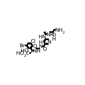 C=C(NCC(O)CN)Nc1cncc(C(=O)NCC(=O)N[C@@H](CC(=O)O)c2cc(Cl)cc(Br)c2O)c1